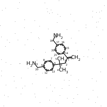 C=C(CC(C)(C)c1ccc(CN)cc1)c1ccc(CN)cc1